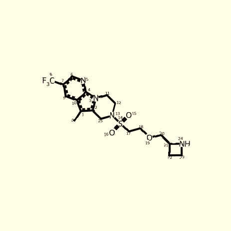 Cc1c2n(c3ncc(C(F)(F)F)cc13)CCN(S(=O)(=O)CCOCC1CCN1)C2